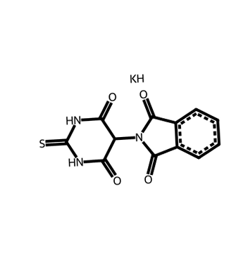 O=C1NC(=S)NC(=O)C1N1C(=O)c2ccccc2C1=O.[KH]